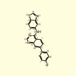 Fc1ccc(-c2ccc3c(Nc4ccc5scnc5c4)ncnc3c2)cc1